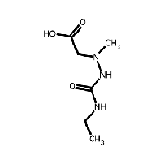 CCNC(=O)NN(C)CC(=O)O